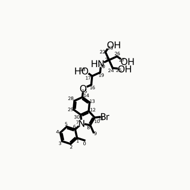 Cc1ccccc1-n1c(C)c(Br)c2cc(OCC(O)CNC(CO)(CO)CO)ccc21